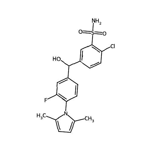 Cc1ccc(C)n1-c1ccc(C(O)c2ccc(Cl)c(S(N)(=O)=O)c2)cc1F